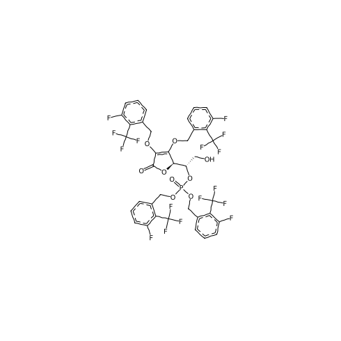 O=C1O[C@H]([C@H](CO)OP(=O)(OCc2cccc(F)c2C(F)(F)F)OCc2cccc(F)c2C(F)(F)F)C(OCc2cccc(F)c2C(F)(F)F)=C1OCc1cccc(F)c1C(F)(F)F